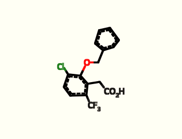 O=C(O)Cc1c(C(F)(F)F)ccc(Cl)c1OCc1ccccc1